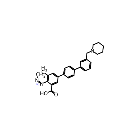 C/N=N\c1c(C)cc(-c2ccc(-c3cccc(CN4CCCCC4)c3)cc2)cc1C(=O)O